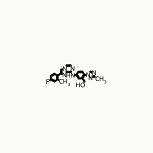 Cc1ncn(-c2ccc(Nc3nccn4cc(-c5ccc(F)cc5C)nc34)cc2CO)n1